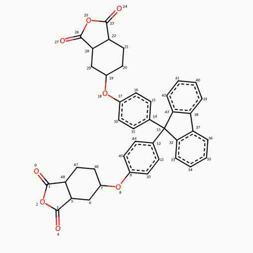 O=C1OC(=O)C2CC(Oc3ccc(C4(c5ccc(OC6CCC7C(=O)OC(=O)C7C6)cc5)c5ccccc5-c5ccccc54)cc3)CCC12